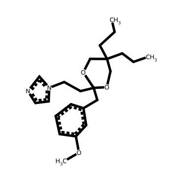 CCCC1(CCC)COC(CCn2ccnc2)(Cc2cccc(OC)c2)OC1